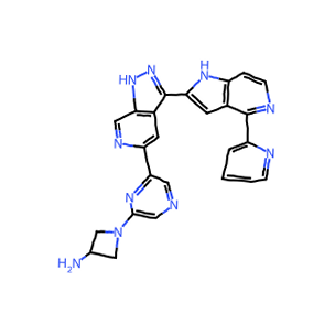 NC1CN(c2cncc(-c3cc4c(-c5cc6c(-c7ccccn7)nccc6[nH]5)n[nH]c4cn3)n2)C1